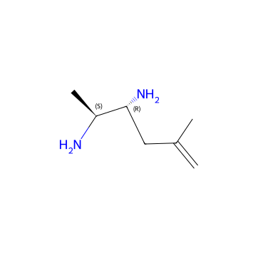 C=C(C)C[C@@H](N)[C@H](C)N